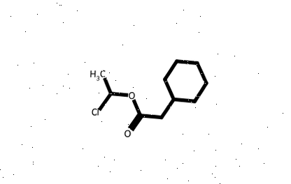 CC(Cl)OC(=O)CC1CCCCC1